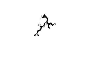 CCC(CC=O)[C@@H](COC(=O)CCN(C)C)CC1C[C@H]1C